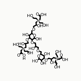 O=C(O)C[N+](CCO)(CCO)CC(O)COCC1OC(O)C(OCC(O)COCC2OC(O)C(O)C(OCC(O)C[N+](CCO)(CCO)CC(=O)O)C2O)C(OCC(O)C[N+](CCO)(CCO)CC(=O)O)C1O